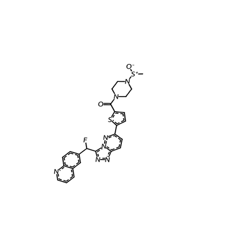 C[S+]([O-])N1CCN(C(=O)c2ccc(-c3ccc4nnc(C(F)c5ccc6ncccc6c5)n4n3)s2)CC1